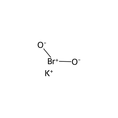 [K+].[O-][Br+][O-]